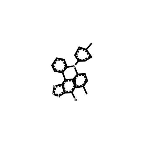 Cc1ccc(N(c2ccc(C)cc2)c2ccccc2-c2ccc(Br)c3nsnc23)cc1